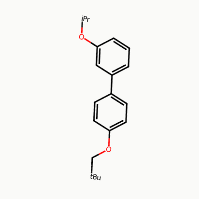 CC(C)Oc1cccc(-c2ccc(OCC(C)(C)C)cc2)c1